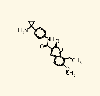 CCc1c(OC)ccc2cc(C(=O)Nc3ccc(C4(N)CC4)cc3)c(=O)oc12